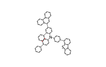 c1ccc(-c2ccc(N(c3ccc(-c4cccc5c4sc4ccccc45)cc3)c3ccc(-c4cc5ccccc5c5ccccc45)cc3-c3ccccc3)cc2)cc1